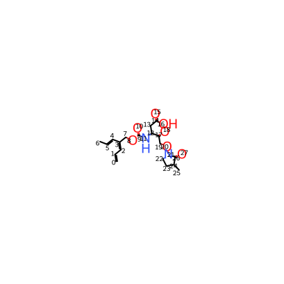 C=CC=C(C=CC)COC(=O)NC(CC(=O)O)C(=O)CON1CCC(C)C1=O